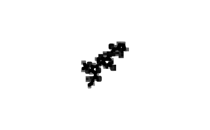 CCNC(=O)C1OC(n2cnc3c(NNC(=O)c4ccc[nH]4)nc(Cl)nc32)C2OC(C)(C)OC12